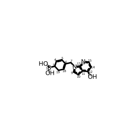 OB(O)C1C=CC(Cn2ccc3c(O)ccnc32)=CC1